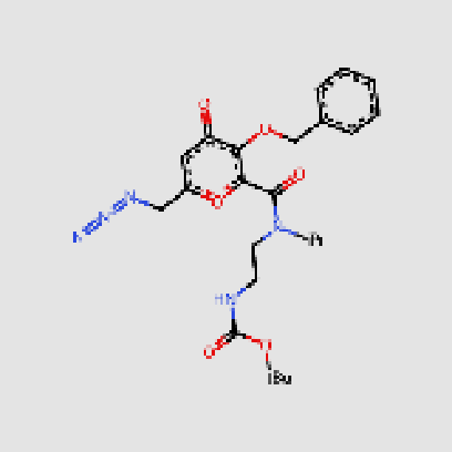 CC(C)N(CCNC(=O)OC(C)(C)C)C(=O)c1oc(CN=[N+]=[N-])cc(=O)c1OCc1ccccc1